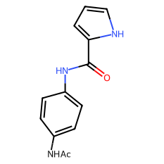 CC(=O)Nc1ccc(NC(=O)c2ccc[nH]2)cc1